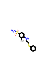 NS(=O)(=O)c1ccc(NCCSc2ccccc2)c(N=O)c1